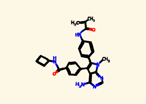 C=C(C)C(=O)Nc1ccc(-c2c(-c3ccc(C(=O)NC4CCC4)cc3)c3c(N)ncnc3n2C)cc1